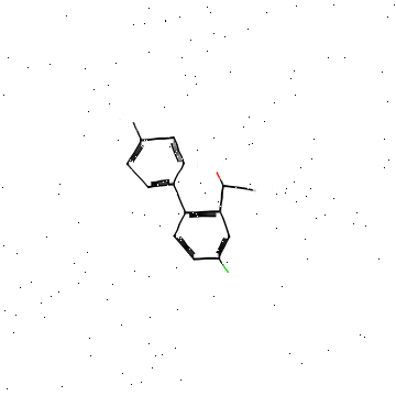 CCC(C)c1ccc(-c2ccc(Cl)cc2C(C)O)cc1